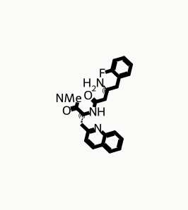 CNC(=O)[C@@H](Cc1ccc2ccccc2n1)NC(=O)C[C@H](N)Cc1ccccc1F